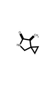 C=C1C(=O)NCC12CC2